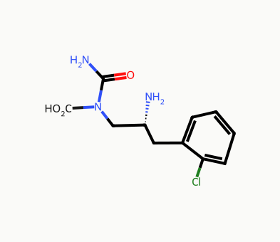 NC(=O)N(C[C@H](N)Cc1ccccc1Cl)C(=O)O